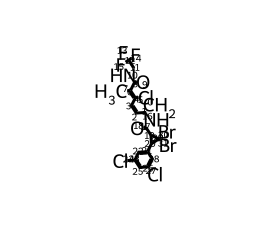 C=C(/C=C\C(Cl)=C(/C)C(=O)NCC(F)(F)F)NC(=O)C1C(c2cc(Cl)cc(Cl)c2)C1(Br)Br